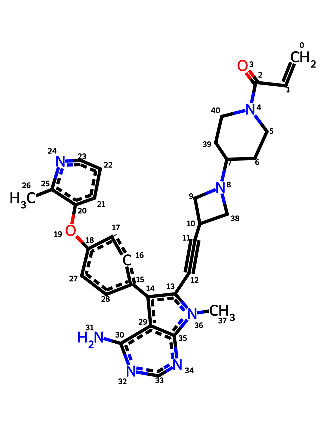 C=CC(=O)N1CCC(N2CC(C#Cc3c(-c4ccc(Oc5cccnc5C)cc4)c4c(N)ncnc4n3C)C2)CC1